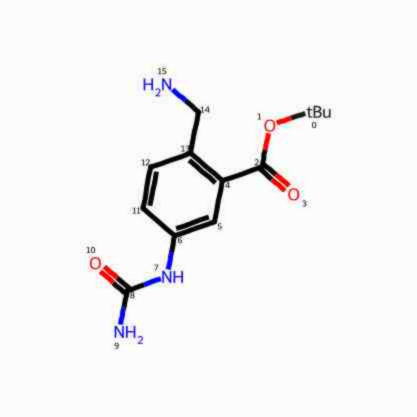 CC(C)(C)OC(=O)c1cc(NC(N)=O)ccc1CN